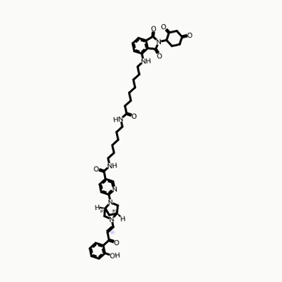 O=C1CCC(N2C(=O)c3cccc(NCCCCCCCC(=O)NCCCCCCNC(=O)c4ccc(N5C[C@H]6C[C@@H]5CN6/C=C/C(=O)c5ccccc5O)nc4)c3C2=O)C(=O)C1